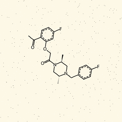 CC(=O)c1ccc(F)cc1OCC(=O)N1C[C@@H](C)N(Cc2ccc(F)cc2)C[C@@H]1C